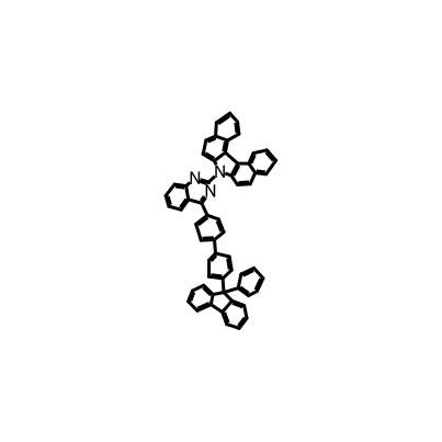 c1ccc(C2(c3ccc(-c4ccc(-c5nc(-n6c7ccc8ccccc8c7c7c8ccccc8ccc76)nc6ccccc56)cc4)cc3)c3ccccc3-c3ccccc32)cc1